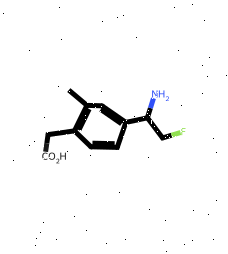 Cc1cc(C(N)CF)ccc1CC(=O)O